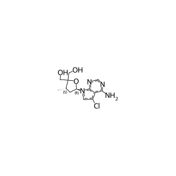 C[C@H]1C[C@H](n2cc(Cl)c3c(N)ncnc32)OC1(CO)CO